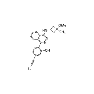 CCC#Cc1ccc(-c2nnc(NC3CC(C)(OC)C3)c3ccccc23)c(O)c1